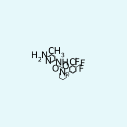 Cc1cc(NC(=O)C(=O)N2CCCC[C@H]2c2ccc(C(F)(F)F)c(Cl)c2)cnc1N